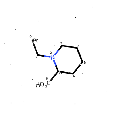 CC(C)CN1CCCCC1C(=O)O